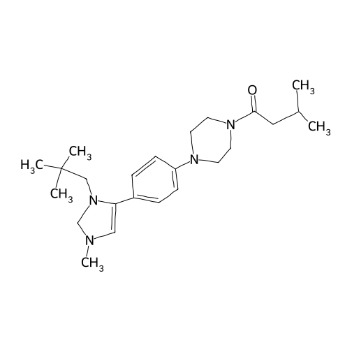 CC(C)CC(=O)N1CCN(c2ccc(C3=CN(C)CN3CC(C)(C)C)cc2)CC1